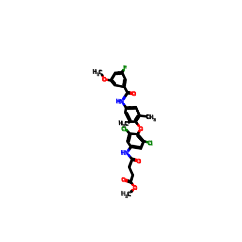 COC(=O)CCC(=O)Nc1cc(Cl)c(Oc2c(C)cc(NC(=O)c3cc(F)cc(OC)c3)cc2C)c(Cl)c1